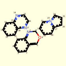 C1=c2ccccc2=NCO1.c1ccc2nccnc2c1.c1ccn2cccc2c1